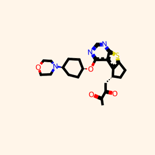 CC(=O)C(=O)C[C@H]1CCc2sc3ncnc(O[C@H]4CC[C@H](N5CCOCC5)CC4)c3c21